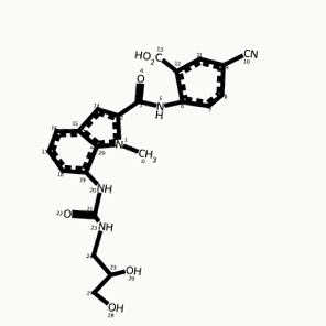 Cn1c(C(=O)Nc2ccc(C#N)cc2C(=O)O)cc2cccc(NC(=O)NCC(O)CO)c21